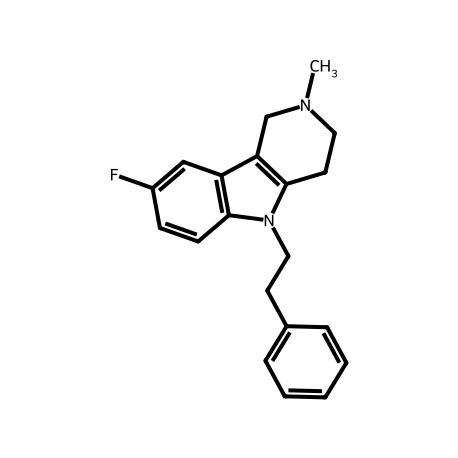 CN1CCc2c(c3cc(F)ccc3n2CCc2ccccc2)C1